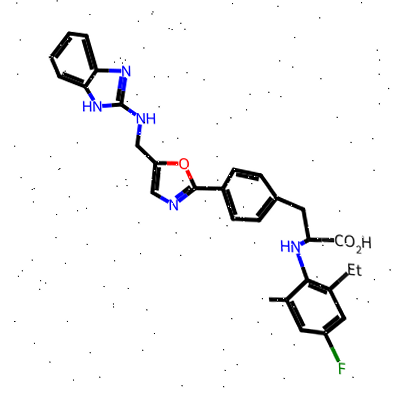 CCc1cc(F)cc(C)c1NC(Cc1ccc(-c2ncc(CNc3nc4ccccc4[nH]3)o2)cc1)C(=O)O